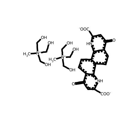 C[N+](CO)(CO)CO.C[N+](CO)(CO)CO.O=C([O-])c1cc(=O)c2ccc3c(ccc4c(=O)cc(C(=O)[O-])[nH]c43)c2[nH]1